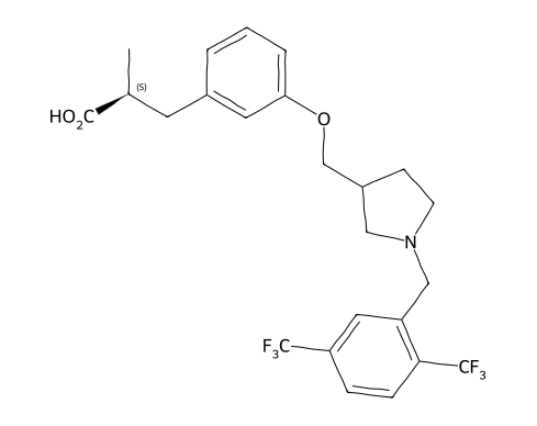 C[C@@H](Cc1cccc(OCC2CCN(Cc3cc(C(F)(F)F)ccc3C(F)(F)F)C2)c1)C(=O)O